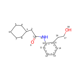 O=C(CC1CCCCC1)Nc1ccccc1CCO